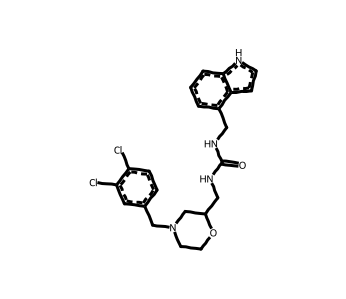 O=C(NCc1cccc2[nH]ccc12)NCC1CN(Cc2ccc(Cl)c(Cl)c2)CCO1